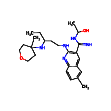 CCC(CCNc1nc2ccc(C)cc2cc1C(=N)NC(C)O)NC1(C)CCOCC1